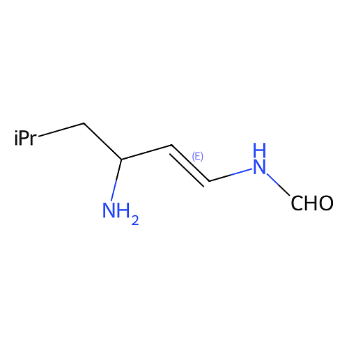 CC(C)CC(N)/C=C/NC=O